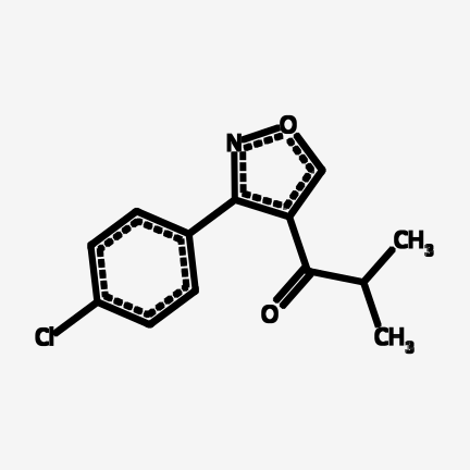 CC(C)C(=O)c1conc1-c1ccc(Cl)cc1